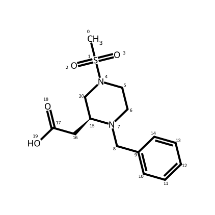 CS(=O)(=O)N1CCN(Cc2ccccc2)[C@@H](CC(=O)O)C1